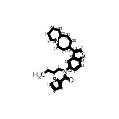 CCCCN(C(=O)c1cccs1)c1ccc2scc(C3CCC4CCCCN4CC3)c2c1